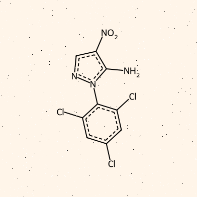 Nc1c([N+](=O)[O-])cnn1-c1c(Cl)cc(Cl)cc1Cl